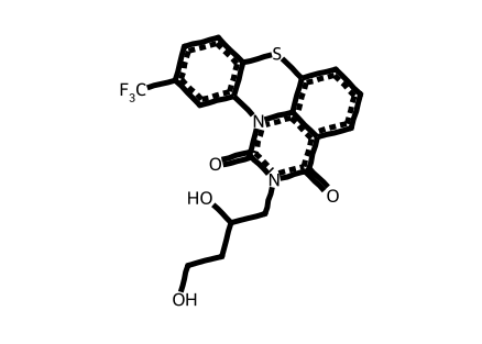 O=c1c2cccc3c2n(c(=O)n1CC(O)CCO)-c1cc(C(F)(F)F)ccc1S3